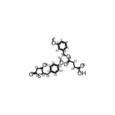 COc1cccc([C@@H](COc2ccc(CC3SC(=O)CC3=O)cc2)OC(=O)CCC(=O)O)c1